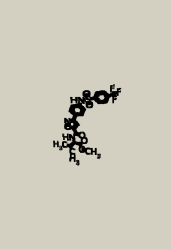 COC(=O)[C@H](NC(=O)c1cc(-c2ccc(NS(=O)(=O)c3ccc(C(F)(F)F)cc3)cc2)no1)C(C)C